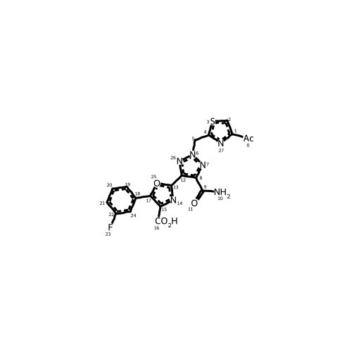 CC(=O)c1csc(Cn2nc(C(N)=O)c(-c3nc(C(=O)O)c(-c4cccc(F)c4)o3)n2)n1